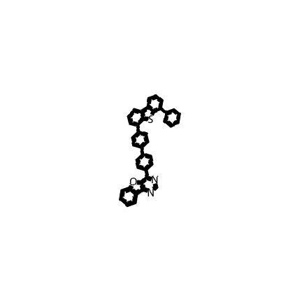 c1ccc(-c2cccc3c2sc2c(-c4ccc(-c5ccc(-c6ncnc7c6oc6ccccc67)cc5)cc4)cccc23)cc1